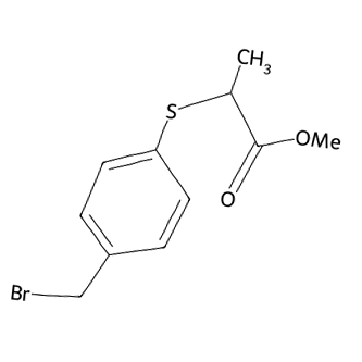 COC(=O)C(C)Sc1ccc(CBr)cc1